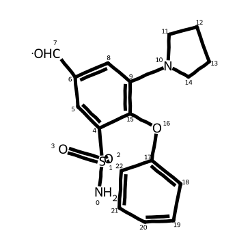 NS(=O)(=O)c1cc([C]=O)cc(N2CCCC2)c1Oc1ccccc1